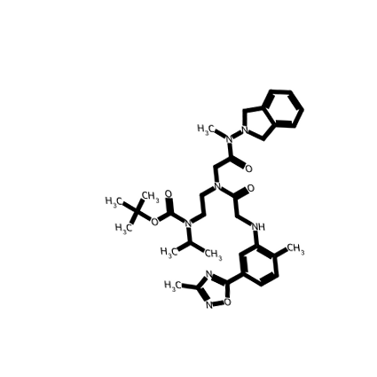 Cc1noc(-c2ccc(C)c(NCC(=O)N(CCN(C(=O)OC(C)(C)C)C(C)C)CC(=O)N(C)N3Cc4ccccc4C3)c2)n1